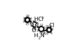 Cl.NC[C@]1(c2cccc(Cl)c2)CC[C@H](N2CCN(c3ccccc3)CC2=O)CC1